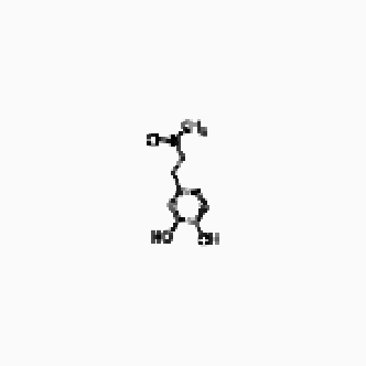 CN(Cl)CCc1ccc(O)c(O)c1